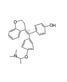 CC(Oc1ccc(/C(=C2/CCOc3ccccc32)c2ccc(O)cc2)cc1)N(C)C